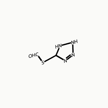 O=CSC1N=NNN1